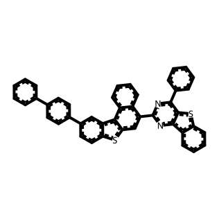 c1ccc(-c2ccc(-c3ccc4sc5cc(-c6nc(-c7ccccc7)c7sc8ccccc8c7n6)c6ccccc6c5c4c3)cc2)cc1